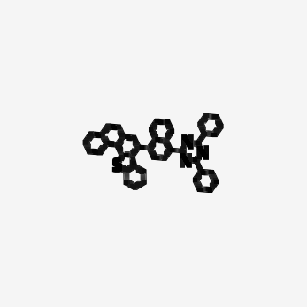 c1ccc(-c2nc(-c3ccccc3)nc(-c3ccc(-c4cc5ccc6ccccc6c5c5sc6ccccc6c45)c4ccccc34)n2)cc1